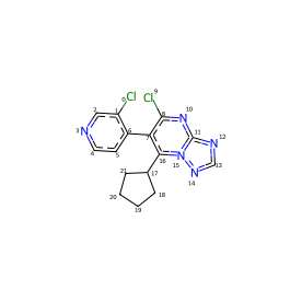 Clc1cnccc1-c1c(Cl)nc2ncnn2c1C1CCCC1